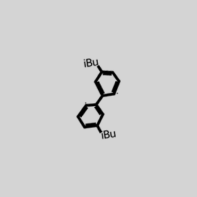 CCC(C)c1cc[c]c(-c2[c]ccc(C(C)CC)c2)c1